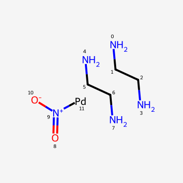 NCCN.NCCN.O=[N+]([O-])[Pd]